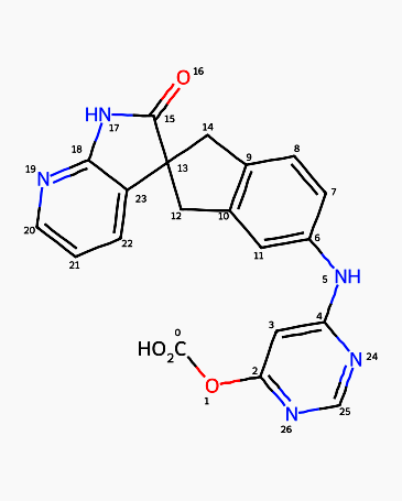 O=C(O)Oc1cc(Nc2ccc3c(c2)CC2(C3)C(=O)Nc3ncccc32)ncn1